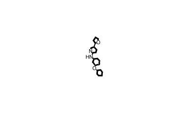 c1ccc(Oc2cccc(Nc3ccc(-c4ccco4)cn3)c2)cc1